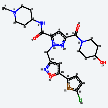 CC(C)N1CCC(NC(=O)c2cc(C(=O)N3CCC(O)CC3)nn2Cc2cc(-c3ccc(Cl)s3)on2)CC1